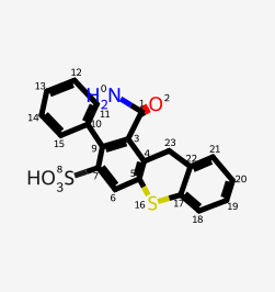 NC(=O)c1c2c(cc(S(=O)(=O)O)c1-c1ccccc1)Sc1ccccc1C2